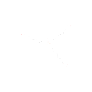 COCCCCCCCP(=O)(CCCCCCCOC)CCCCCCCOC